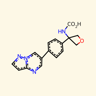 O=C(O)NC1(c2ccc(-c3cnc4ccnn4c3)cc2)COC1